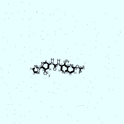 CC(C)c1c(NC(=O)Nc2cnc(-n3nccn3)c(C(F)(F)F)c2)cnc2ccc(OC(F)F)nc12